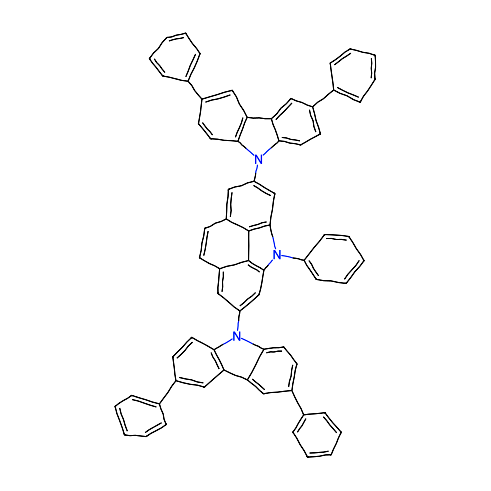 c1ccc(-c2ccc3c(c2)c2cc(-c4ccccc4)ccc2n3-c2cc3ccc4cc(-n5c6ccc(-c7ccccc7)cc6c6cc(-c7ccccc7)ccc65)cc5c4c3c(c2)n5-c2ccccc2)cc1